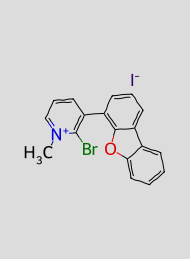 C[n+]1cccc(-c2cccc3c2oc2ccccc23)c1Br.[I-]